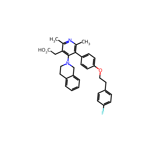 Cc1nc(C)c(-c2ccc(OCCc3ccc(F)cc3)cc2)c(N2CCc3ccccc3C2)c1CC(=O)O